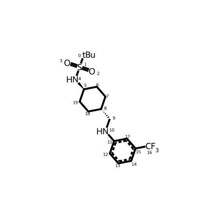 CC(C)(C)S(=O)(=O)N[C@H]1CC[C@H](CNc2cccc(C(F)(F)F)c2)CC1